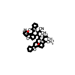 C=C(C#N)/C(=C(\C(C#N)=C(/Cc1ccc2oc3ccccc3c2c1)n1c(/C=C\C)c(C)c2ccccc21)c1ccc2oc3ccccc3c2c1)n1c(/C=C\C)c(C)c2ccccc21